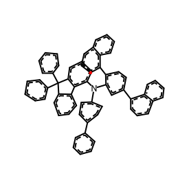 c1ccc(-c2ccc(N(c3cc(-c4cccc5ccccc45)ccc3-c3cccc4ccccc34)c3cccc4c3-c3ccccc3C4(c3ccccc3)c3ccccc3)cc2)cc1